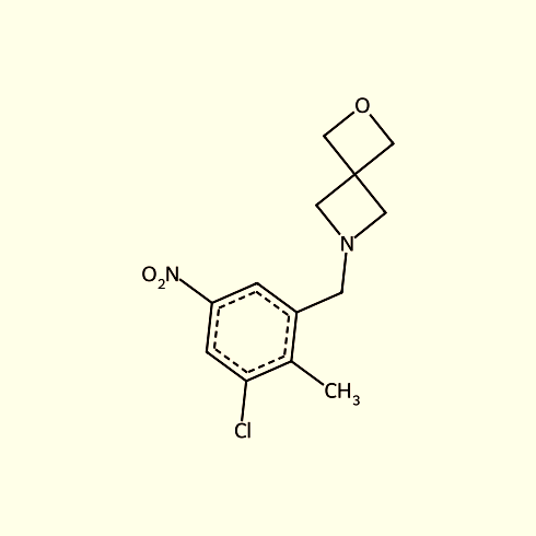 Cc1c(Cl)cc([N+](=O)[O-])cc1CN1CC2(COC2)C1